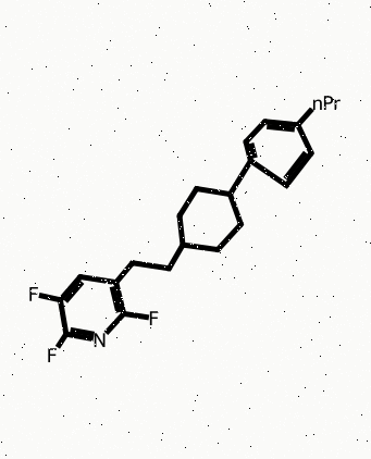 CCCc1ccc(C2CCC(CCc3cc(F)c(F)nc3F)CC2)cc1